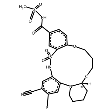 CS(=O)(=O)NC(=O)c1ccc2c(c1)S(=O)(=O)Nc1cc(C#N)c(F)cc1N1CCCC[C@H]1CCCCO2